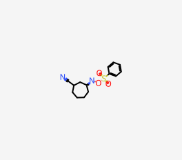 N#CC1CCCC/C(=N\OS(=O)(=O)c2ccccc2)C1